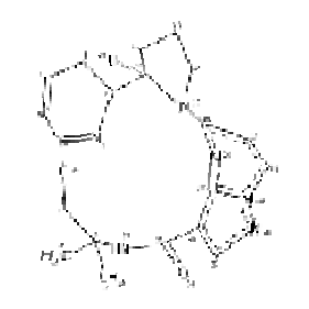 CC1(C)CCC2=NC(CC=C2)[C@H]2CCCN2c2ccn3ncc(c3n2)C(=O)N1